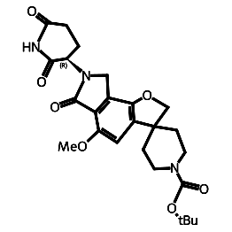 COc1cc2c(c3c1C(=O)N([C@@H]1CCC(=O)NC1=O)C3)OCC21CCN(C(=O)OC(C)(C)C)CC1